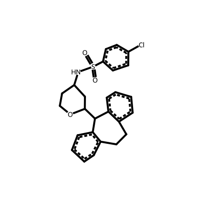 O=S(=O)(NC1CCOC(C2c3ccccc3CCc3ccccc32)C1)c1ccc(Cl)cc1